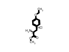 CCOc1ccc(C[C@H](N)C(=O)OC)cc1.Cl